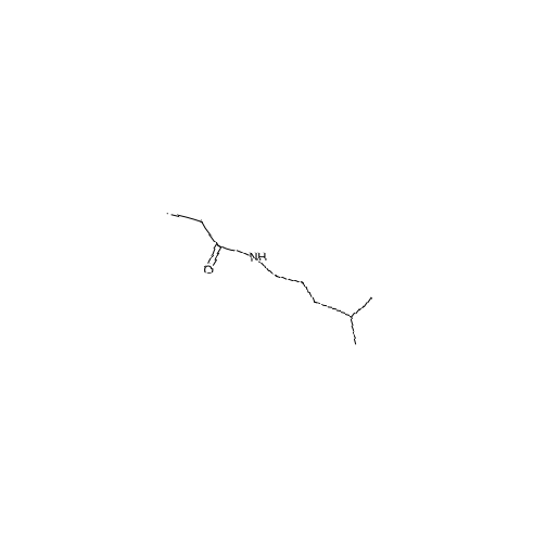 [CH2]CC(=O)NCCCC(C)C